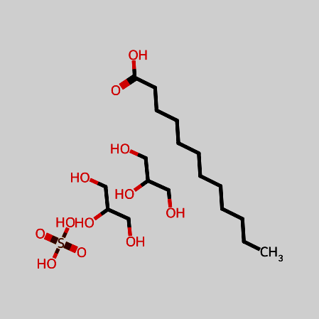 CCCCCCCCCCCC(=O)O.O=S(=O)(O)O.OCC(O)CO.OCC(O)CO